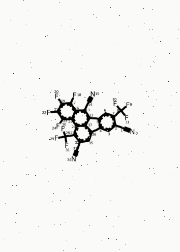 N#Cc1cc2c(cc1C(F)(F)F)-c1c(C#N)c3c(F)c(F)c(F)c(F)c3c3c(C(F)(F)F)c(C#N)cc-2c13